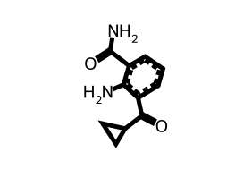 NC(=O)c1cccc(C(=O)C2CC2)c1N